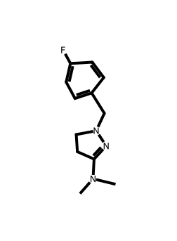 CN(C)C1=NN(Cc2ccc(F)cc2)CC1